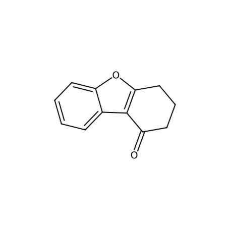 O=C1CCCc2oc3ccccc3c21